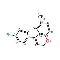 Fc1ccc(C2=CCOc3ccc(C(F)(F)F)cc32)cc1